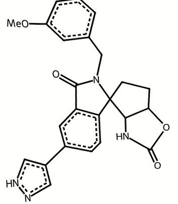 COc1cccc(CN2C(=O)c3cc(-c4cn[nH]c4)ccc3C23CCC2OC(=O)NC23)c1